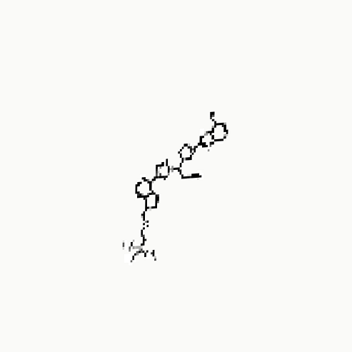 C[Si](C)(C)CCOCn1ccc2c(-c3cnn(C(CC#N)C4CCN(c5nc6cccc(F)c6o5)C4)c3)ncnc21